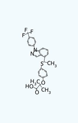 CC(Sc1ccc(OC(C)(C)C(=O)O)cc1)c1cccc2c1cnn2-c1ccc(C(F)(F)F)cc1